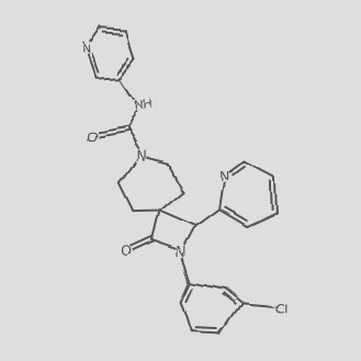 O=C(Nc1cccnc1)N1CCC2(CC1)C(=O)N(c1cccc(Cl)c1)C2c1ccccn1